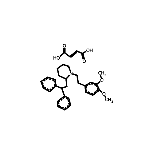 COc1ccc(CCN2CCCCC2CC(c2ccccc2)c2ccccc2)cc1OC.O=C(O)C=CC(=O)O